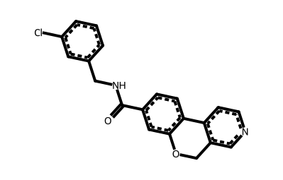 O=C(NCc1cccc(Cl)c1)c1ccc2c(c1)OCc1cnccc1-2